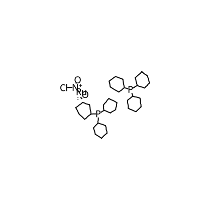 C1CCC(P(C2CCCCC2)C2CCCCC2)CC1.C1CCC(P(C2CCCCC2)C2CCCCC2)CC1.O=[N+](Cl)[Ru].[C]=O